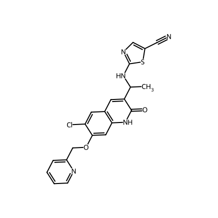 CC(Nc1ncc(C#N)s1)c1cc2cc(Cl)c(OCc3ccccn3)cc2[nH]c1=O